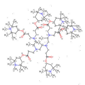 CC(CN(CCC(=O)OC1CC(C)(C)N(C)C(C)(C)C1)C(C)CN(CCC(=O)OC1CC(C)(C)N(C)C(C)(C)C1)C(C)CN(CCC(=O)OC1CC(C)(C)N(C)C(C)(C)C1)CCC(=O)OC1CC(C)(C)N(C)C(C)(C)C1)N(CCC(=O)OC1CC(C)(C)N(C)C(C)(C)C1)CCC(=O)OC1CC(C)(C)N(C)C(C)(C)C1